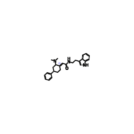 CN(C)C1CC(c2ccccc2)CC/C1=C\C(=O)NCCc1c[nH]c2ccccc12